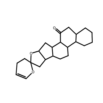 O=C1CC2CCCCC2C2CCC3C4CC5(CCC=CO5)OC4CC3C12